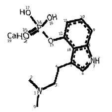 CN(C)CCc1c[nH]c2cccc(OP(=O)(O)O)c12.[CaH2]